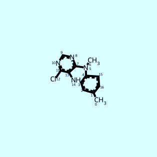 Cc1ccc(N(C)c2ncnc(Cl)c2N)cc1